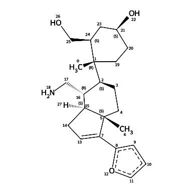 C[C@]1([C@H]2CC[C@]3(C)C(c4ccco4)=CC[C@H]3[C@@H]2CN)CC[C@H](O)C[C@@H]1CO